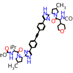 COC(=O)N[C@H](C(=O)N1C[C@@H](C)C[C@H]1c1nc(-c2ccc(C#Cc3ccc(-c4c[nH]c([C@@H]5C[C@H](C)CN5C(=O)[C@@H](NC(=O)O)C5CCOCC5)n4)cc3)cc2)c[nH]1)C(C)C